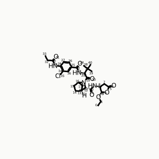 CCO[C@@H]1OC(=O)C[C@@H]1NC(=O)[C@@H]1[C@H]2CCC(C2)N1C(=O)[C@@H](NC(=O)c1ccc(NC(=O)CC)c(Cl)c1)C(C)(C)C